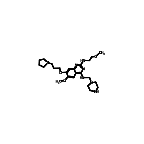 COCCNc1nc(NCN2CCNCC2)c2cc(OC)c(OCCCN3CCCC3)cc2n1